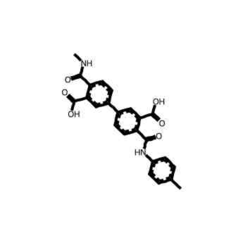 CNC(=O)c1ccc(-c2ccc(C(=O)Nc3ccc(C)cc3)c(C(=O)O)c2)cc1C(=O)O